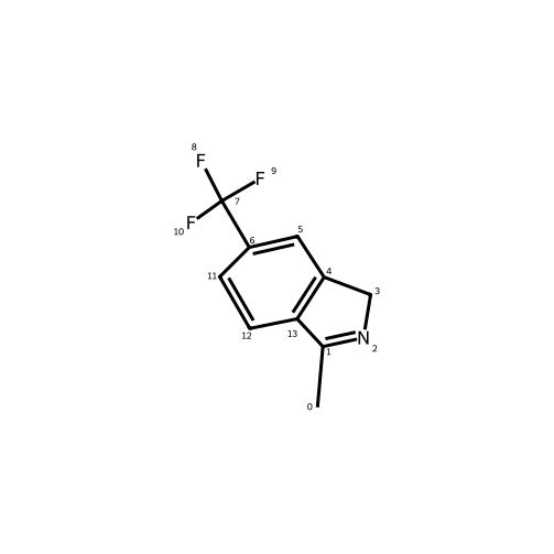 CC1=NCc2cc(C(F)(F)F)ccc21